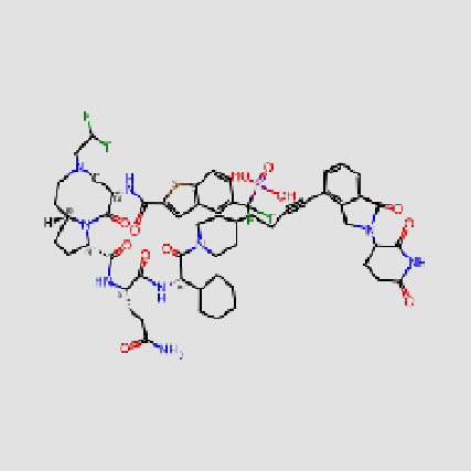 NC(=O)CC[C@H](NC(=O)[C@@H]1CC[C@@H]2CCN(CC(F)F)C[C@H](NC(=O)c3cc4cc(C(F)(F)P(=O)(O)O)ccc4s3)C(=O)N21)C(=O)N[C@H](C(=O)N1CCC(CCC#Cc2cccc3c2CN(C2CCC(=O)NC2=O)C3=O)CC1)C1CCCCC1